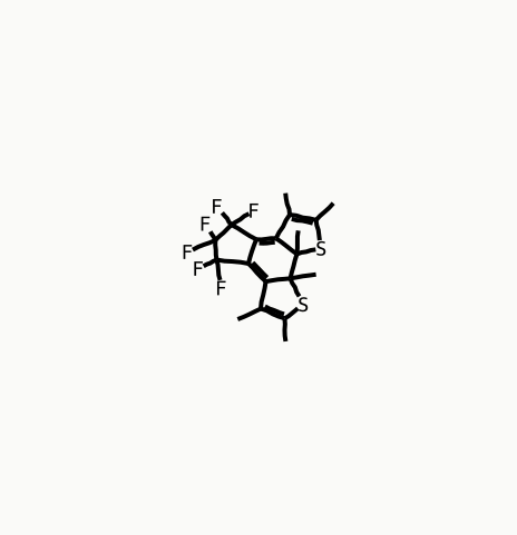 CC1=C(C)C2=C3C(=C4C(C)=C(C)SC4(C)C2(C)S1)C(F)(F)C(F)(F)C3(F)F